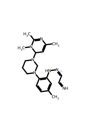 CC1=CC(N2CCCN(c3ccc(C)cc3N/N=C\C=N)C2)N(C)C(C)=N1